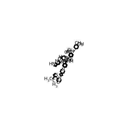 CC(C)c1ccsc1[C@@H]1COCCN1C1CC2(CCN(c3ccc(C(=O)NS(=O)(=O)c4ccc(NC[C@H]5CC[C@](C)(O)CC5)c([N+](=O)[O-])c4)c(N4c5cc6cc[nH]c6nc5O[C@@H]5CCOC[C@H]54)c3)CC2)C1